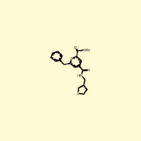 CNC(=O)c1cc(C(=O)NCC2CCOC2)cc(Cc2ccccc2)n1